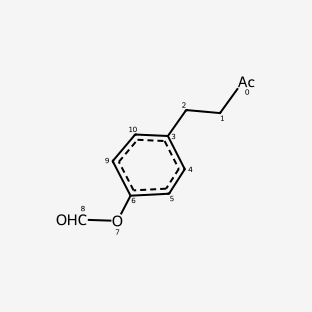 CC(=O)CCc1ccc(OC=O)cc1